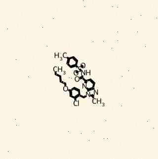 CCCCCOc1ccc(Cn2c(C)nc3ccc(C(=O)NS(=O)(=O)c4ccc(C)cc4)nc32)c(Cl)c1